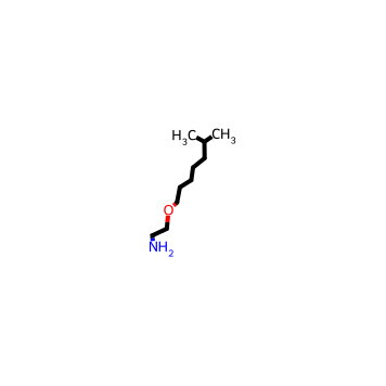 CC(C)CCCCCOCCN